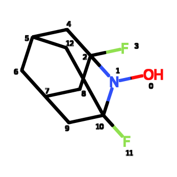 ON1C2(F)CC3CC(C2)CC1(F)C3